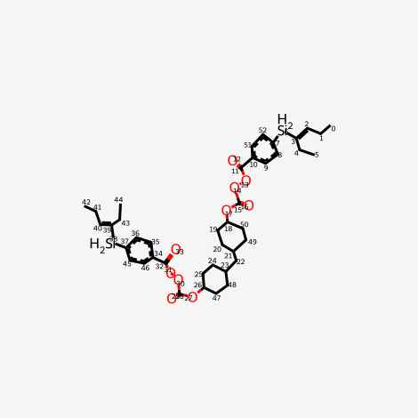 CC/C=C(\CC)[SiH2]c1ccc(C(=O)OOC(=O)OC2CCC(CC3CCC(OC(=O)OOC(=O)c4ccc([SiH2]/C(=C/CC)CC)cc4)CC3)CC2)cc1